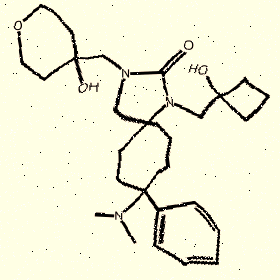 CN(C)C1(c2ccccc2)CCC2(CC1)CN(CC1(O)CCOCC1)C(=O)N2CC1(O)CCC1